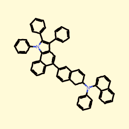 C1=CC(N(c2ccccc2)c2cccc3ccccc23)Cc2ccc(-c3cc4c(-c5ccccc5)c(-c5ccccc5)n(-c5ccccc5)c4c4ccccc34)cc21